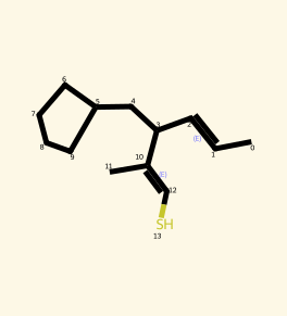 C/C=C/C(CC1CCCC1)/C(C)=C/S